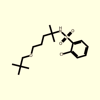 CC(C)(C)COCCCC(C)(C)NS(=O)(=O)c1ccccc1Cl